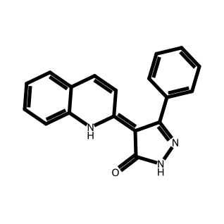 O=C1NN=C(c2ccccc2)C1=C1C=Cc2ccccc2N1